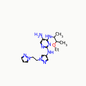 CCOC(C)C(C)Nc1nc(Nc2cnn(CCn3cccn3)c2)ncc1N